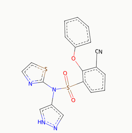 N#Cc1cccc(S(=O)(=O)N(c2cn[nH]c2)c2nccs2)c1Oc1ccccc1